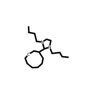 CCCCN1CCN(CCCC)C1C1CCCCCCCC1